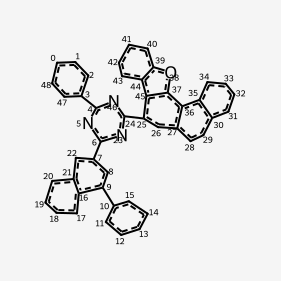 c1ccc(-c2nc(-c3cc(-c4ccccc4)c4ccccc4c3)nc(-c3cc4ccc5ccccc5c4c4oc5ccccc5c34)n2)cc1